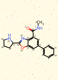 CNC(=O)c1cc(-c2ccccc2)cc2oc(C3CCCN3)nc12